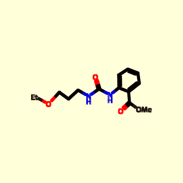 CCOCCCNC(=O)Nc1ccccc1C(=O)OC